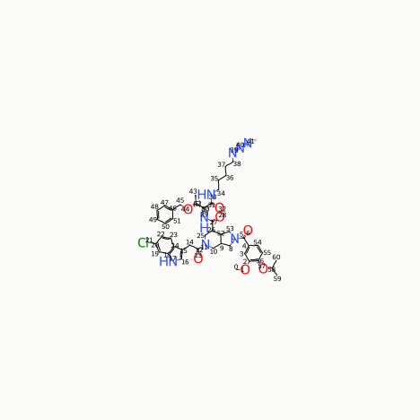 COc1cc(C(=O)N2CC3CN(C(=O)Cc4c[nH]c5cc(Cl)ccc45)CC(C(=O)N[C@H](C(=O)NCCCCCN=[N+]=[N-])[C@H](C)OCc4ccccc4)C3C2)ccc1OC(C)C